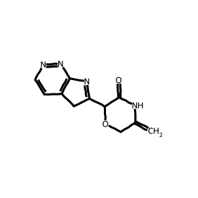 C=C1COC(C2=Nc3nnccc3C2)C(=O)N1